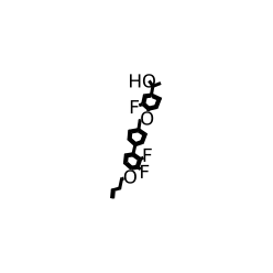 C=CCCOc1ccc(-c2ccc(COc3ccc(C(C)O)cc3F)cc2)c(F)c1F